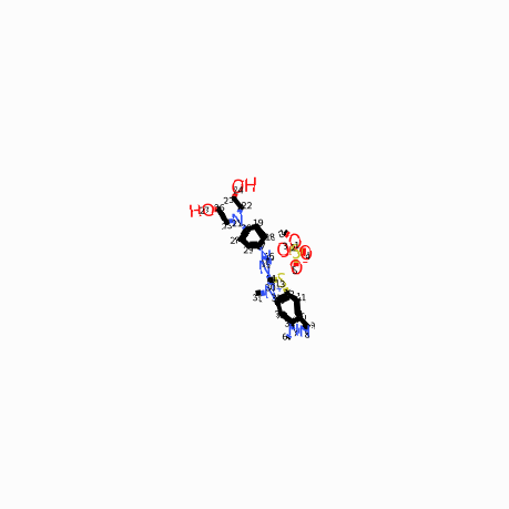 COS(=O)(=O)[O-].Cn1ncc2cc3sc(/N=N/c4ccc(N(CCO)CCO)cc4)[n+](C)c3cc21